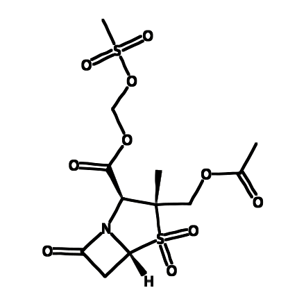 CC(=O)OC[C@@]1(C)[C@H](C(=O)OCOS(C)(=O)=O)N2C(=O)C[C@H]2S1(=O)=O